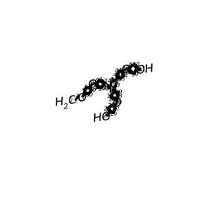 C=CCOc1ccc(Oc2ccc(N3CN(c4ccc(Oc5ccc(O)cc5)cc4)CN(c4ccc(Oc5ccc(O)cc5)cc4)C3)cc2)cc1